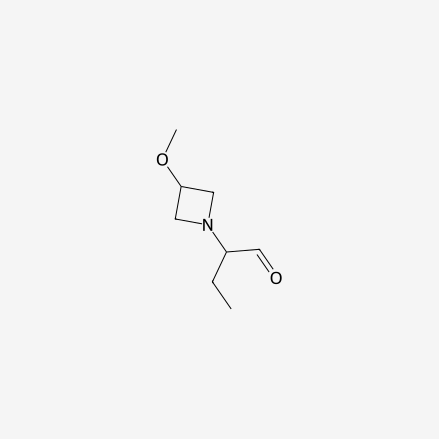 CCC(C=O)N1CC(OC)C1